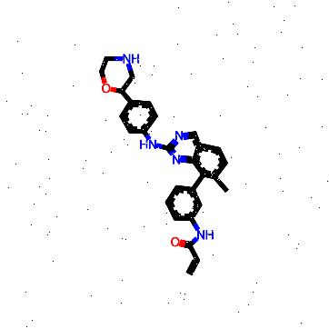 C=CC(=O)Nc1cccc(-c2c(C)ccc3cnc(Nc4ccc(C5CNCCO5)cc4)nc23)c1